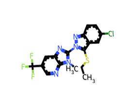 CCSc1c2cc(Cl)ccc2nn1-c1nc2cc(C(F)(F)F)cnc2n1C